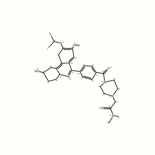 COC1=C(OC(F)F)CC2=C3CC(O)CCC3N=C(c3ccc(C(=O)N4CCN(CC(=O)N(C)C)CC4)cc3)C2=C1